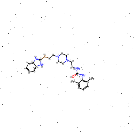 CC(C)c1cccc(C(C)C)c1NC(=O)NCCN1CCN(CCSc2nc3ccccc3[nH]2)CC1